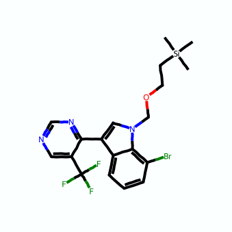 C[Si](C)(C)CCOCn1cc(-c2ncncc2C(F)(F)F)c2cccc(Br)c21